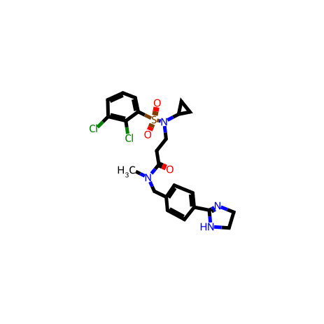 CN(Cc1ccc(C2=NCCN2)cc1)C(=O)CCN(C1CC1)S(=O)(=O)c1cccc(Cl)c1Cl